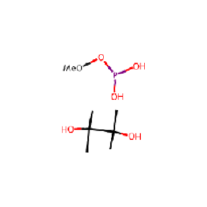 CC(C)(O)C(C)(C)O.COOP(O)O